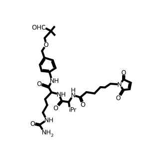 CC(C)C(NC(=O)CCCCCN1C(=O)C=CC1=O)C(=O)NC(CCCNC(N)=O)C(=O)Nc1ccc(COCC(C)(C)C=O)cc1